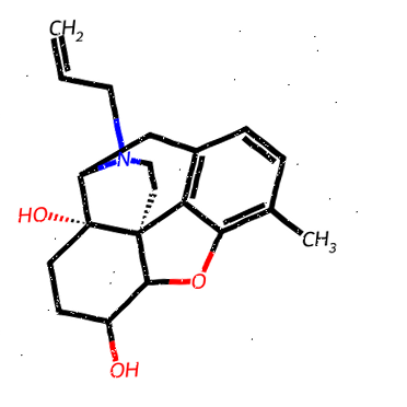 C=CCN1CC[C@]23c4c5ccc(C)c4OC2C(O)CC[C@@]3(O)C1C5